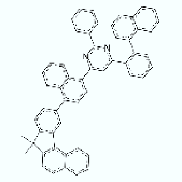 CC1(C)c2ccc(-c3ccc(-c4cc(-c5ccccc5-c5cccc6ccccc56)nc(-c5ccccc5)n4)c4ccccc34)cc2-c2c1ccc1ccccc21